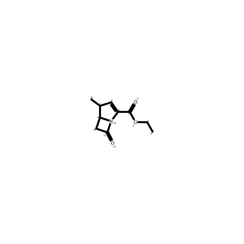 CCOC(=O)C1=CC(C)C2CC(=O)N12